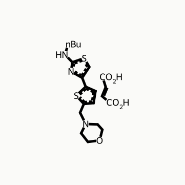 CCCCNc1nc(-c2ccc(CN3CCOCC3)s2)cs1.O=C(O)C=CC(=O)O